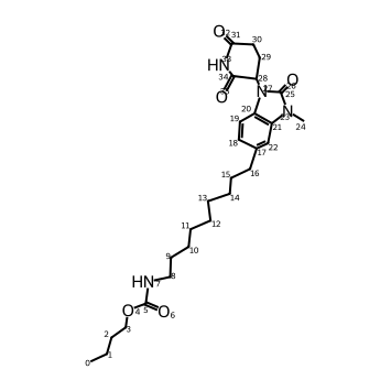 CCCCOC(=O)NCCCCCCCCCc1ccc2c(c1)n(C)c(=O)n2C1CCC(=O)NC1=O